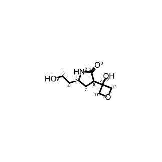 O=C1N[C@H](CCO)CC1C1(O)COC1